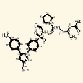 CCC(=O)OC(C)O/N=[N+](\[O-])N1CCC[C@H]1C(=O)NS(=O)(=O)c1ccc(-n2nc(C(F)(F)F)cc2-c2ccc(C)cc2)cc1